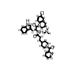 CN(C)C[C@H]1Cc2cc(Cl)ccc2N(C(=O)[C@@H](Cc2c[nH]c3ccccc23)NC(=O)CCC2CCN(C(=O)c3ccccn3)CC2)C1